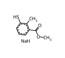 COC(=O)c1cccc(S)c1C.[NaH]